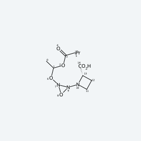 CC(OC(=O)C(C)C)On1on1N1CC[C@H]1C(=O)O